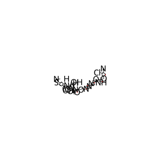 Cc1ncsc1-c1ccc(C(CO)NC(=O)C2C[C@@H](O)CN2C(=O)[C@@H](NC(=O)COCCN2CCN(c3ccc(C(=O)N[C@H]4C(C)(C)[C@H](Oc5ccc(C#N)c(Cl)c5)C4(C)C)cn3)CC2)C(C)(C)C)cc1